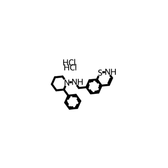 C1=Cc2ccc(CNN3CCCCC3c3ccccc3)cc2SN1.Cl.Cl